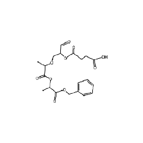 CC(OCC(C=O)OC(=O)CCC(=O)O)C(=O)OC(C)C(=O)OCc1ccccc1